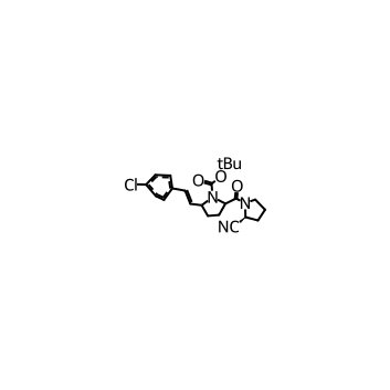 CC(C)(C)OC(=O)N1C(C=Cc2ccc(Cl)cc2)CCC1C(=O)N1CCC[C@H]1C#N